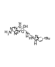 CC(C)(C)C1C=Cc2[nH]c(NCCCNC[C@H]3OC(n4cnc5c(N)ncnc54)[C@H](O)[C@@H]3O)nc2C1